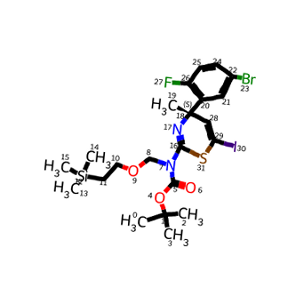 CC(C)(C)OC(=O)N(COCC[Si](C)(C)C)C1=N[C@](C)(c2cc(Br)ccc2F)C=C(I)S1